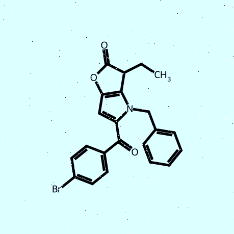 CCC1C(=O)Oc2cc(C(=O)c3ccc(Br)cc3)n(Cc3ccccc3)c21